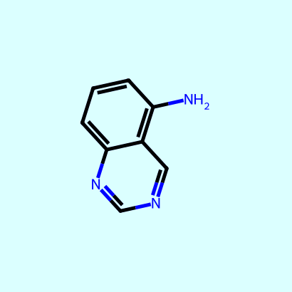 Nc1cccc2ncncc12